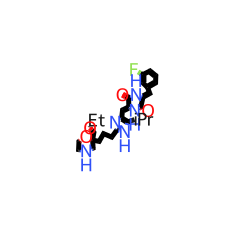 CCOCC1(CCCc2nc(/C=c3\[nH]c(=O)/c(=C/c4cccc(F)c4)[nH]c3=O)c(C(C)C)[nH]2)CNCCO1